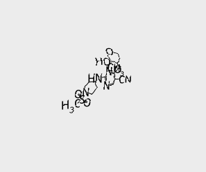 C[C@]1(O)COCC[C@H]1Oc1nc(NC2CCN(S(C)(=O)=O)CC2)ncc1C#N